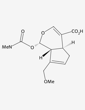 CNC(=O)O[C@@H]1OC=C(C(=O)O)[C@H]2CC=C(COC)[C@H]12